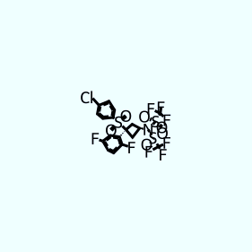 O=S(=O)(N([C@H]1C[C@@](c2cc(F)ccc2F)(S(=O)(=O)c2ccc(Cl)cc2)C1)S(=O)(=O)C(F)(F)F)C(F)(F)F